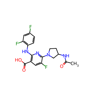 CC(=O)NC1CCN(c2nc(Nc3ccc(F)cc3F)c(C(=O)O)cc2F)C1